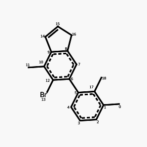 Cc1cccc(-c2cc3c(c(C)c2Br)C=CC3)c1C